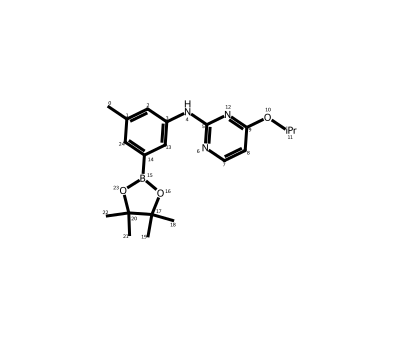 Cc1cc(Nc2nccc(OC(C)C)n2)cc(B2OC(C)(C)C(C)(C)O2)c1